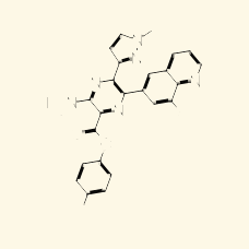 Cn1ccc(-c2nc(N)c(C(=O)Oc3ccc(F)cc3)nc2-c2cc(Cl)c3ncccc3c2)n1